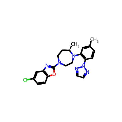 Cc1c[c]c(-n2nccn2)c(N2CCN(c3nc4cc(Cl)ccc4o3)CC[C@H]2C)c1